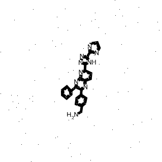 NCc1ccc(-c2nc3ccc(-c4nnc(-c5ncccn5)[nH]4)nc3nc2-c2ccccc2)cc1